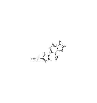 CCOC(=O)c1cnc(-c2cnc3[nH]ccc3c2Cl)s1